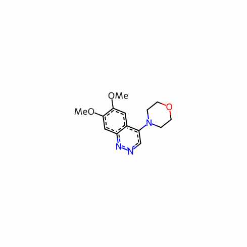 COc1cc2nncc(N3CCOCC3)c2cc1OC